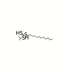 CCCCCCCCCCCCSC(S)=[SH]C(C)C